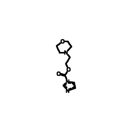 O=C(OCCN1CCOCC1)n1ccnc1